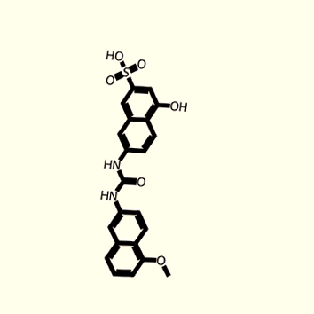 COc1cccc2cc(NC(=O)Nc3ccc4c(O)cc(S(=O)(=O)O)cc4c3)ccc12